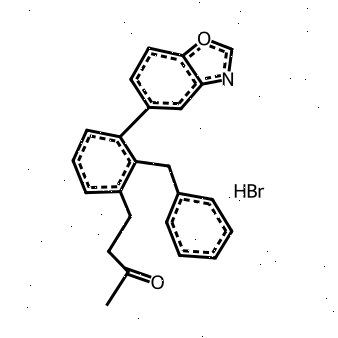 Br.CC(=O)CCc1cccc(-c2ccc3ocnc3c2)c1Cc1ccccc1